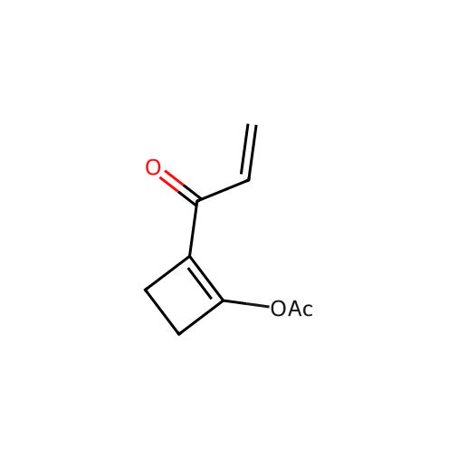 C=CC(=O)C1=C(OC(C)=O)CC1